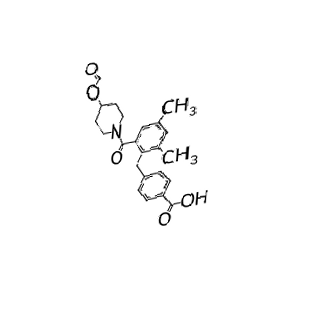 Cc1cc(C)c(Cc2ccc(C(=O)O)cc2)c(C(=O)N2CCC(OC=O)CC2)c1